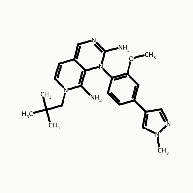 COc1cc(-c2cnn(C)c2)ccc1N1C(N)=NC=C2C=CN(CC(C)(C)C)C(N)=C21